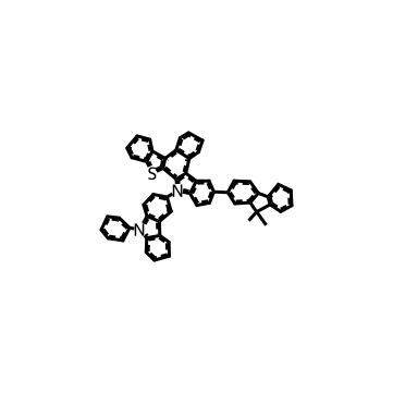 CC1(C)c2ccccc2-c2ccc(-c3ccc4c(c3)c3c5ccccc5c5c6ccccc6sc5c3n4-c3ccc4c(c3)c3ccccc3n4-c3ccccc3)cc21